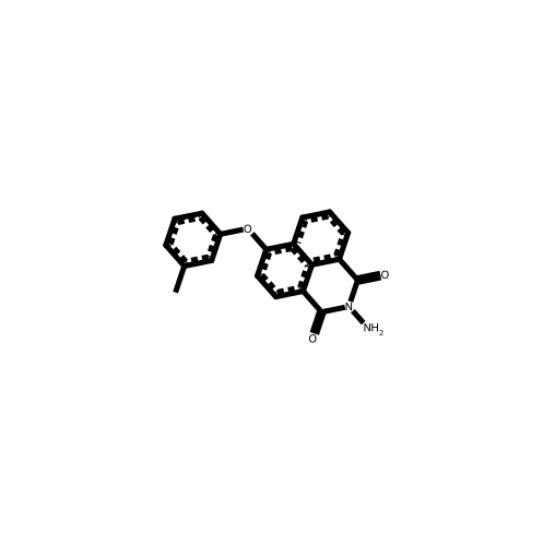 Cc1cccc(Oc2ccc3c4c(cccc24)C(=O)N(N)C3=O)c1